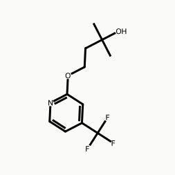 CC(C)(O)CCOc1cc(C(F)(F)F)ccn1